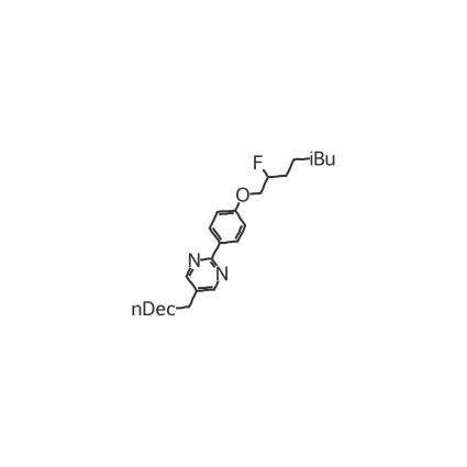 CCCCCCCCCCCc1cnc(-c2ccc(OCC(F)CCC(C)CC)cc2)nc1